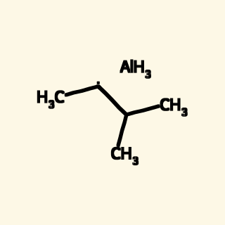 C[CH]C(C)C.[AlH3]